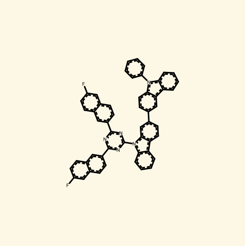 Fc1ccc2cc(-c3nc(-c4ccc5cc(F)ccc5c4)nc(-n4c5ccccc5c5ccc(-c6ccc7c(c6)c6ccccc6n7-c6ccccc6)cc54)n3)ccc2c1